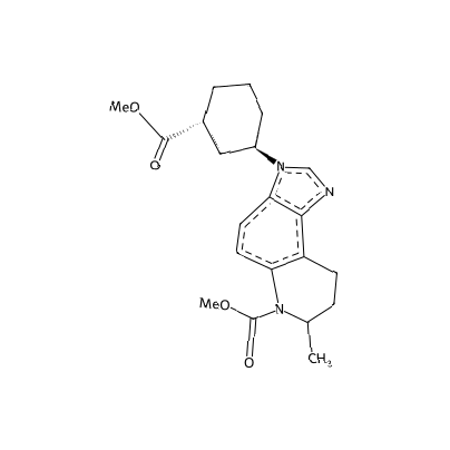 COC(=O)[C@@H]1CCC[C@@H](n2cnc3c4c(ccc32)N(C(=O)OC)C(C)CC4)C1